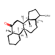 CC(=O)OC1CC[C@H]2[C@@H]3CC(=O)[C@H]4CCCC[C@]4(C)[C@H]3CC[C@]12C